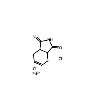 O=C1NC(=O)C2CC=CCC12.[Cl-].[Cl-].[Pd+2]